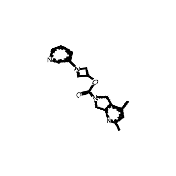 Cc1cc(C)c2c(n1)CN(C(=O)OC1CN(c3cccnc3)C1)C2